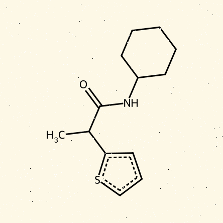 CC(C(=O)NC1CCCCC1)c1cccs1